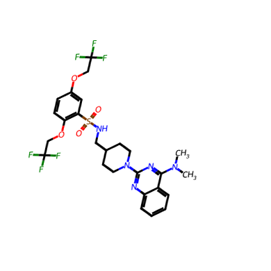 CN(C)c1nc(N2CCC(CNS(=O)(=O)c3cc(OCC(F)(F)F)ccc3OCC(F)(F)F)CC2)nc2ccccc12